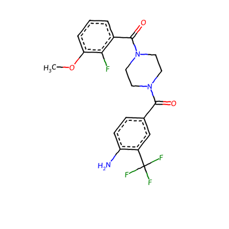 COc1cccc(C(=O)N2CCN(C(=O)c3ccc(N)c(C(F)(F)F)c3)CC2)c1F